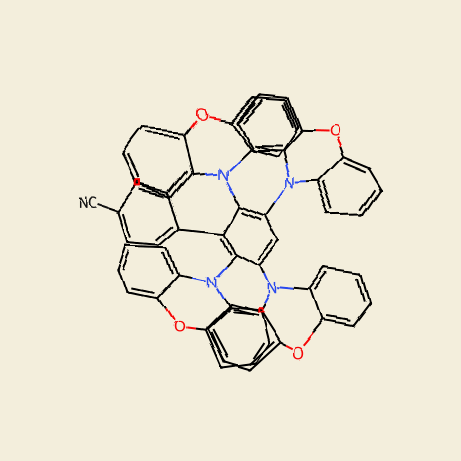 N#Cc1ccc(-c2c(N3c4ccccc4Oc4ccccc43)c(N3c4ccccc4Oc4ccccc43)cc(N3c4ccccc4Oc4ccccc43)c2N2c3ccccc3Oc3ccccc32)cc1